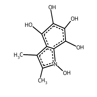 Cc1c(C)n(O)c2c(O)c(O)c(O)c(O)c12